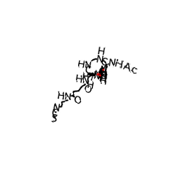 CC(=O)N[C@]12CNCCNC[C@H](NC(=O)CCCC(=O)NCCCN=C=S)[C@@H](CNCCNC1)CNCCNC2